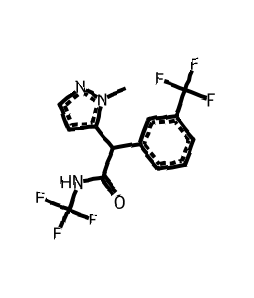 Cn1nccc1C(C(=O)NC(F)(F)F)c1cccc(C(F)(F)F)c1